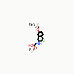 CCOC(=O)COc1ccc2c(c1)CC(NC[C@@H](O)OC(F)(F)F)CC2.Cl